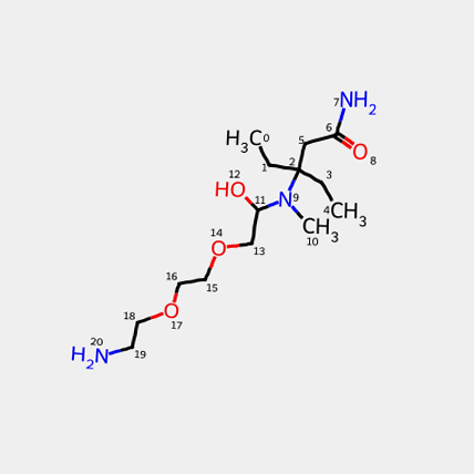 CCC(CC)(CC(N)=O)N(C)C(O)COCCOCCN